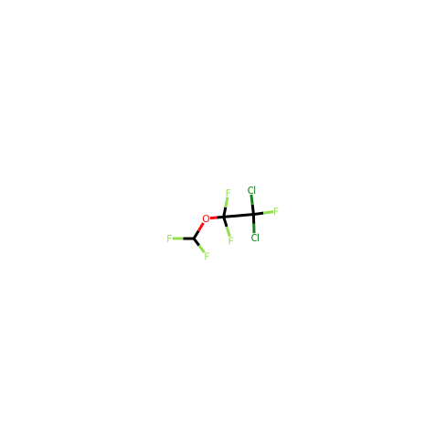 FC(F)OC(F)(F)C(F)(Cl)Cl